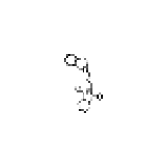 O=C1C2CC=CCC2C(=O)N1CCCN1CCc2ccccc2C1